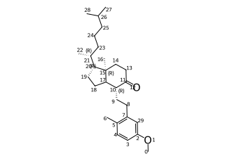 COc1ccc(C)c(CC[C@H]2C(=O)CC[C@@]3(C)C2CC[C@@H]3[C@H](C)CCCC(C)C)c1